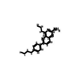 CCCCc1ccc(-c2ccc3nc(N)nc(CCC)c3n2)cc1